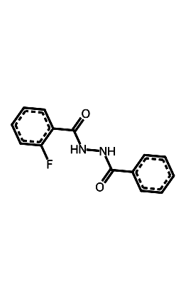 O=C(NNC(=O)c1ccccc1F)c1ccccc1